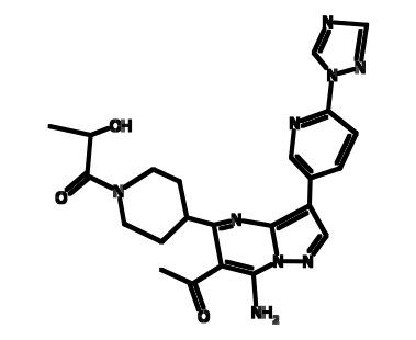 CC(=O)c1c(C2CCN(C(=O)C(C)O)CC2)nc2c(-c3ccc(-n4cncn4)nc3)cnn2c1N